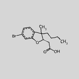 CCCCC1(C)c2ccc(Br)cc2OC1CC(=O)O